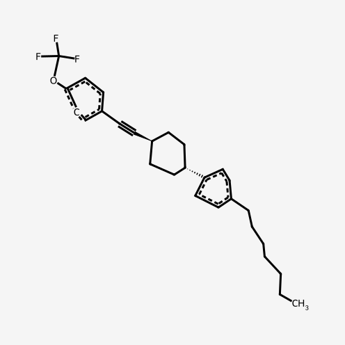 CCCCCCCc1ccc([C@H]2CC[C@H](C#Cc3ccc(OC(F)(F)F)cc3)CC2)cc1